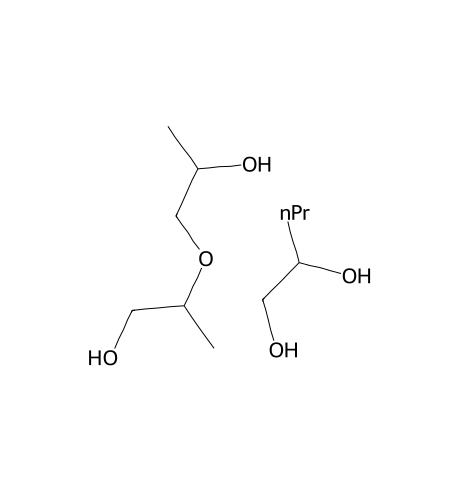 CC(O)COC(C)CO.CCCC(O)CO